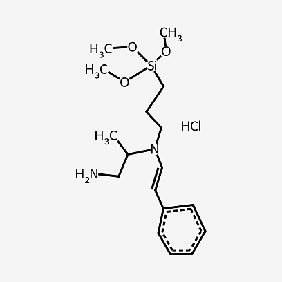 CO[Si](CCCN(C=Cc1ccccc1)C(C)CN)(OC)OC.Cl